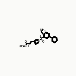 NCc1ccc(-c2ccccc2)cc1S(=O)(=O)n1ccc(/C=C/C(=O)NO)c1